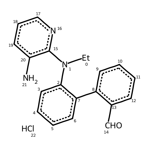 CCN(c1ccccc1-c1ccccc1C=O)c1ncccc1N.Cl